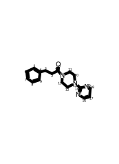 O=C(CCc1ccccc1)N1CCN(c2ncccn2)CC1